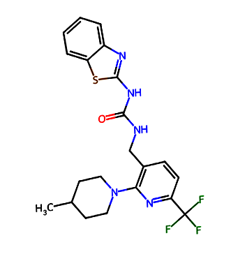 CC1CCN(c2nc(C(F)(F)F)ccc2CNC(=O)Nc2nc3ccccc3s2)CC1